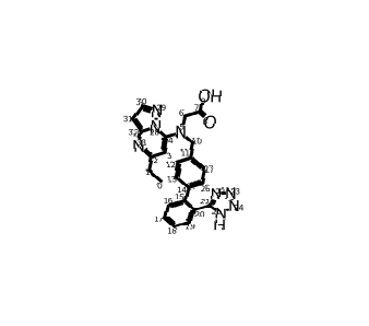 CCc1cc(N(CC(=O)O)Cc2ccc(-c3ccccc3-c3nnn[nH]3)cc2)n2nccc2n1